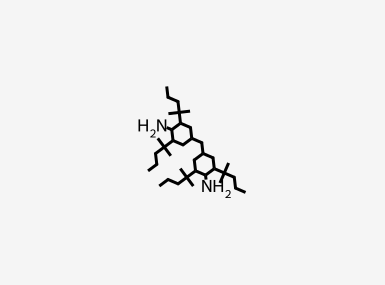 CCCC(C)(C)C1CC(CC2CC(C(C)(C)CCC)C(N)C(C(C)(C)CCC)C2)CC(C(C)(C)CCC)C1N